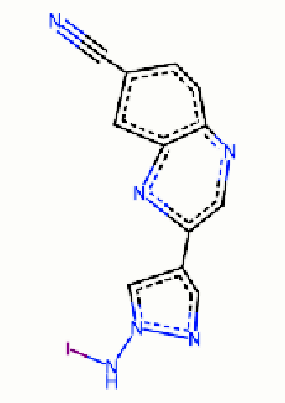 N#Cc1ccc2ncc(-c3cnn(NI)c3)nc2c1